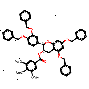 COc1cc(C(=O)O[C@@H]2Cc3c(OCc4ccccc4)cc(OCc4ccccc4)cc3O[C@@H]2c2ccc(OCc3ccccc3)c(OCc3ccccc3)c2)cc(OC)c1OC